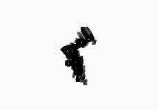 Cc1ccc(C(=O)[C@@H]2CCC(C3CCC(C)CC3)CO2)c(Cl)c1F